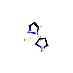 Cl.c1cnn([C@@H]2CCNC2)c1